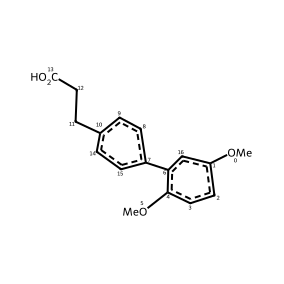 COc1ccc(OC)c(-c2ccc(CCC(=O)O)cc2)c1